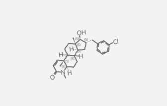 CN1C(=O)C=C[C@]2(C)[C@H]3CC[C@]4(C)[C@@H](O)[C@H](Cc5cccc(Cl)c5)C[C@H]4[C@@H]3CC[C@@H]12